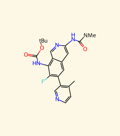 CNC(=O)Nc1cc2cc(-c3cnccc3C)c(F)c(NC(=O)OC(C)(C)C)c2cn1